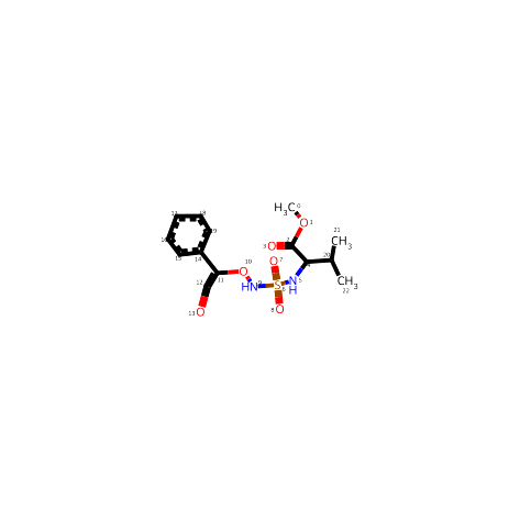 COC(=O)C(NS(=O)(=O)NOC(=C=O)c1ccccc1)C(C)C